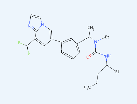 CCC(CCC(F)(F)F)NC(=O)N(CC)C(C)c1cccc(-c2cc(C(F)F)c3nccn3c2)c1